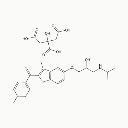 Cc1ccc(C(=O)c2oc3ccc(OCC(O)CNC(C)C)cc3c2C)cc1.O=C(O)CC(O)(CC(=O)O)C(=O)O